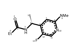 CCC(=O)N[C@H](C)c1cc(NC)ncc1F